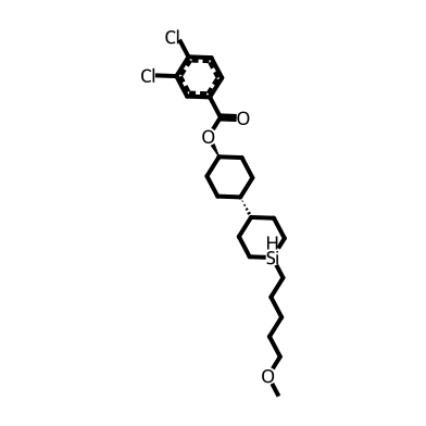 COCCCCC[SiH]1CCC([C@H]2CC[C@H](OC(=O)c3ccc(Cl)c(Cl)c3)CC2)CC1